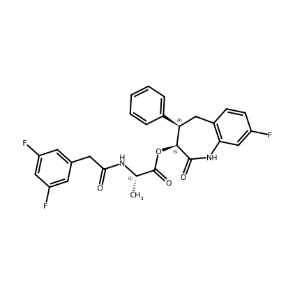 C[C@H](NC(=O)Cc1cc(F)cc(F)c1)C(=O)O[C@@H]1C(=O)Nc2cc(F)ccc2C[C@@H]1c1ccccc1